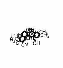 CC(=O)C[C@@H]1[C@@]2(C)C=C(C#N)C(=O)C(C)(C)[C@@H]2CC[C@@]1(C)[C@]1(C)CC[C@@]2(CCO)CCC(C)(C)CC2C1